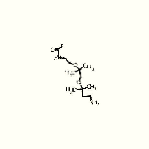 CC(C)(CCN)OCC(C)(C)OCCNC(=O)F